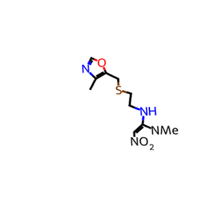 CNC(=C[N+](=O)[O-])NCCSCc1ocnc1C